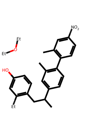 CCOCC.CCc1cc(O)ccc1CC(C)c1ccc(-c2ccc([N+](=O)[O-])cc2C)c(C)c1